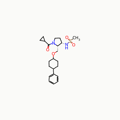 CS(=O)(=O)N[C@H]1CCN(C(=O)C2CC2)[C@H]1COC1CCC(c2ccccc2)CC1